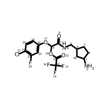 NC1CCC(CNC(=O)C(OC(=O)C(F)(F)F)Oc2ccc(Cl)c(F)c2)C1